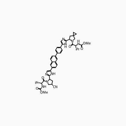 COC(=O)NC(C(=O)N1CC(C#N)CC1c1ncc(-c2ccc3cc(-c4ccc(-c5cnc(C6CC7(CC7)CN6C(=O)C(NC(=O)OC)C(C)C)[nH]5)cc4)ccc3c2)[nH]1)C(C)C